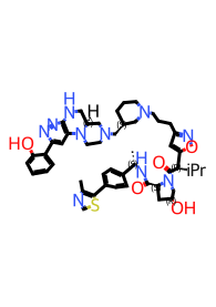 Cc1ncsc1-c1ccc([C@H](C)NC(=O)[C@@H]2C[C@@H](O)CN2C(=O)[C@@H](c2cc(CCCN3CCC[C@H](CN4CCN5c6cc(-c7ccccc7O)nnc6NC[C@H]5C4)C3)no2)C(C)C)cc1